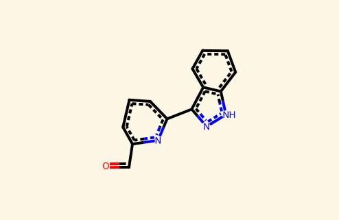 O=Cc1cccc(-c2n[nH]c3ccccc23)n1